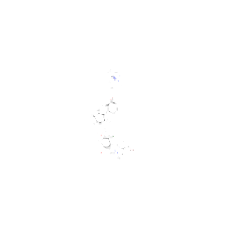 CCOc1cc(O[C@H]2CCc3c(-c4cccc(OCCCN5CCC5(C)C)c4C)cccc32)c(Cl)cc1CN(C)CC(C)(C)CO